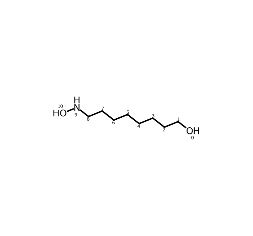 OCCCCCCCCNO